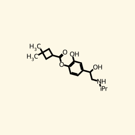 CC(C)NCC(O)c1ccc(OC(=O)C2CC(C)(C)C2)c(O)c1